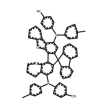 Cc1ccc(N(c2ccc(C#N)cc2)c2cc3c(c4ccccc24)-c2c(cc(N(c4ccc(C)cc4)c4ccc(C#N)cc4)c4c2oc2ccccc24)C32c3ccccc3-c3ccccc32)cc1